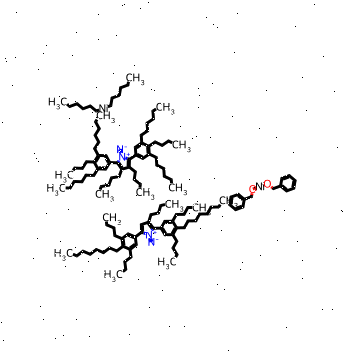 CCCCCCCCc1c(CCCC)cc(C2=CC(CCCC)=C(c3cc(CCCC)c(CCCCCCCC)c(CCCC)c3)[N+]2=[N-])cc1CCCC.CCCCCCc1cc(C2=C(CCCC)C(CCCCC)=C(c3cc(CCCCCC)c(CCCC)c(CCCCCC)c3)[N+]2=[N-])cc(CCCCCC)c1CCCC.CCCCC[CH2][Ni][CH2]CCCCC.c1ccc(C[O][Ni][O]Cc2ccccc2)cc1